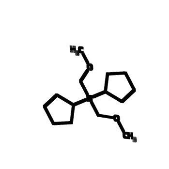 COC[Si](COC)(C1CCCC1)C1CCCC1